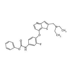 CCN(CC)Cc1cc2nccc(Oc3ccc(NC(=O)Oc4ccccc4)cc3F)c2s1